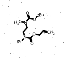 C=CCOC(=O)N(CCN(C)C(=O)OC(C)(C)C)C(C)C